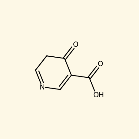 O=C(O)C1=CN=CCC1=O